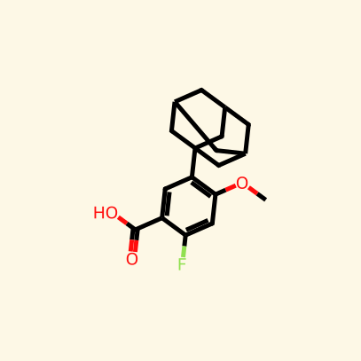 COc1cc(F)c(C(=O)O)cc1C12CC3CC(CC(C3)C1)C2